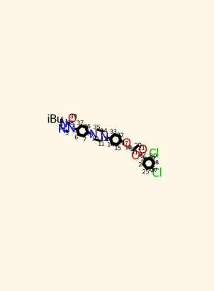 CC[C@@H](C)n1ncn(-c2ccc(N3CCN(c4ccc(OC[C@@H]5CO[C@H](c6ccc(Cl)cc6Cl)O5)cc4)CC3)cc2)c1=O